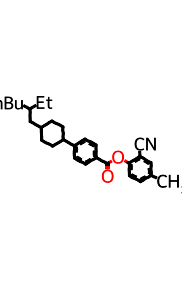 CCCCC(CC)CC1CCC(c2ccc(C(=O)Oc3ccc(C)cc3C#N)cc2)CC1